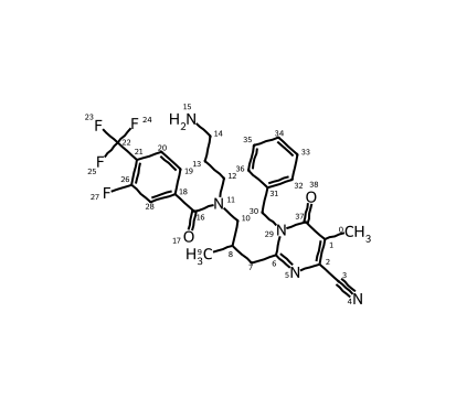 Cc1c(C#N)nc(CC(C)CN(CCCN)C(=O)c2ccc(C(F)(F)F)c(F)c2)n(Cc2ccccc2)c1=O